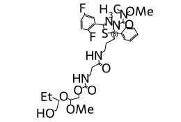 CCC(CO)OC(COC(=O)NCCC(=O)NCCC[C@@]1(c2ccccc2)SC(c2cc(F)ccc2F)=NN1C(=O)N(C)OC)OC